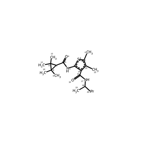 Cc1sc(NC(=O)C2C(C)(C)C2(C)C)c(C(=O)NC(C)C(C)C)c1C